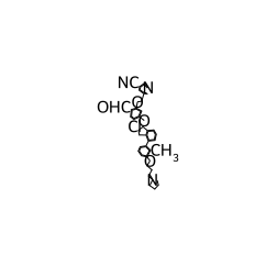 Cc1c(OCCCN2CCCC2)cccc1-c1cccc2c1CCC2Oc1cc(OCc2cncc(C#N)c2)c(C=O)cc1Cl